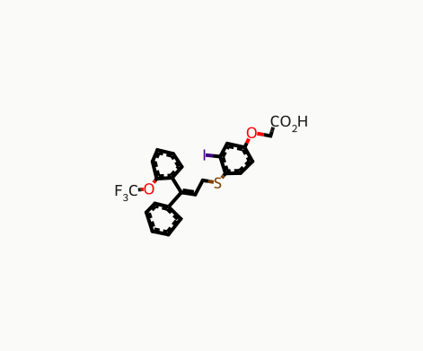 O=C(O)COc1ccc(SCC=C(c2ccccc2)c2ccccc2OC(F)(F)F)c(I)c1